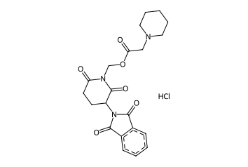 Cl.O=C(CN1CCCCC1)OCN1C(=O)CCC(N2C(=O)c3ccccc3C2=O)C1=O